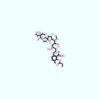 CCC(=O)Oc1c(C)ccc(CC[C@@H](C)[C@H](O)[C@H](C)C(=O)[C@H](CC)[C@H]2O[C@](CC)([C@H]3CC[C@](O)(CC)[C@H](C)O3)C[C@@H]2C)c1C(=O)O